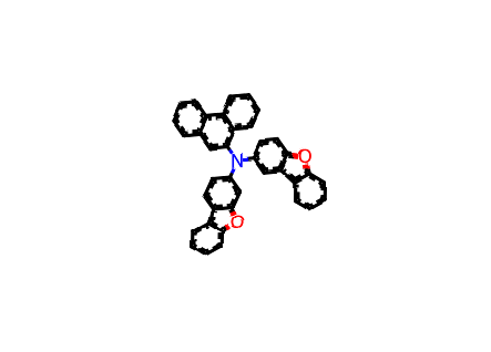 c1ccc2c(c1)cc(N(c1ccc3c(c1)oc1ccccc13)c1ccc3oc4ccccc4c3c1)c1ccccc12